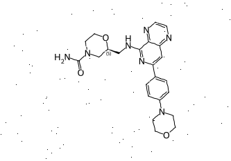 NC(=O)N1CCO[C@@H](CNc2nc(-c3ccc(N4CCOCC4)cc3)cc3nccnc23)C1